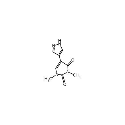 Cn1cc(-c2cn[nH]c2)c(=O)n(C)c1=O